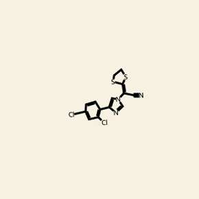 N#CC(=C1SCCS1)n1cnc(-c2ccc(Cl)cc2Cl)c1